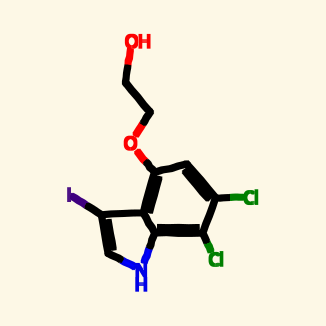 OCCOc1cc(Cl)c(Cl)c2[nH]cc(I)c12